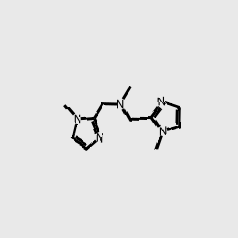 CN(Cc1nccn1C)Cc1nccn1C